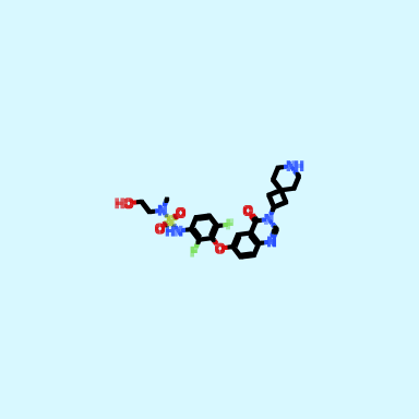 CN(CCO)S(=O)(=O)Nc1ccc(F)c(Oc2ccc3ncn(C4CC5(CCNCC5)C4)c(=O)c3c2)c1F